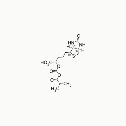 C=C(C)C(=O)OC(=O)OC(CCC[C@@H]1SC[C@@H]2NC(=O)N[C@@H]21)C(=O)O